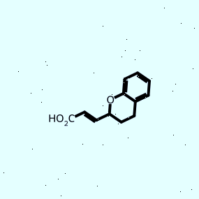 O=C(O)C=CC1CCc2ccccc2O1